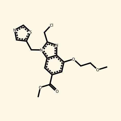 COCCOc1cc(C(=O)OC)cc2c1nc(CCl)n2Cc1cncs1